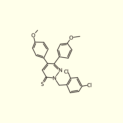 COc1ccc(-c2cc(=S)n(Cc3ccc(Cl)cc3Cl)nc2-c2ccc(OC)cc2)cc1